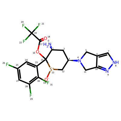 N[C@H]1C[C@@H](N2Cc3c[nH]nc3C2)C[S+]([O-])C1(OC(=O)C(F)(F)F)c1cc(F)cc(F)c1F